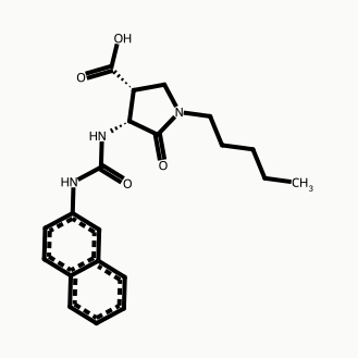 CCCCCN1C[C@@H](C(=O)O)[C@@H](NC(=O)Nc2ccc3ccccc3c2)C1=O